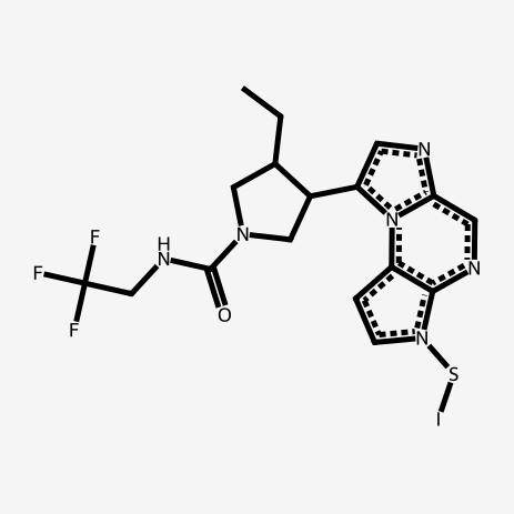 CCC1CN(C(=O)NCC(F)(F)F)CC1c1cnc2cnc3c(ccn3SI)n12